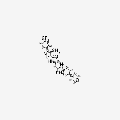 Cc1cc(NC(=O)c2cnn(-c3ccc(C(F)(F)F)cc3)c2C)cnc1[C@H]1CC[C@H](N2CCOCC2)CC1